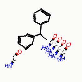 CC(c1ccccc1)c1ccccc1.N=C=O.N=C=O.N=C=O.N=C=O.N=C=O